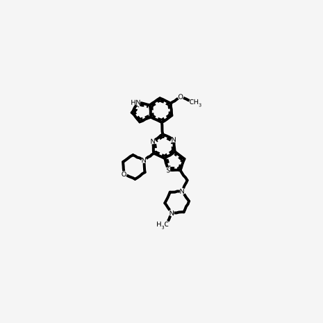 COc1cc(-c2nc(N3CCOCC3)c3sc(CN4CCN(C)CC4)cc3n2)c2cc[nH]c2c1